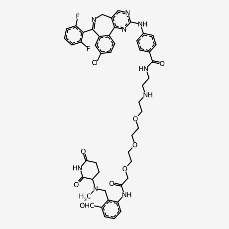 CN(Cc1c(C=O)cccc1NC(=O)COCCOCCOCCNCCNC(=O)c1ccc(Nc2ncc3c(n2)-c2ccc(Cl)cc2C(c2c(F)cccc2F)=NC3)cc1)C1CCC(=O)NC1=O